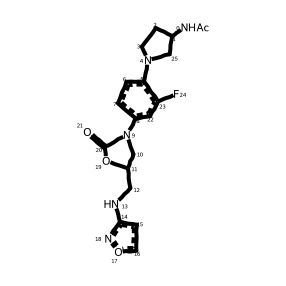 CC(=O)NC1CCN(c2ccc(N3CC(CNc4ccon4)OC3=O)cc2F)C1